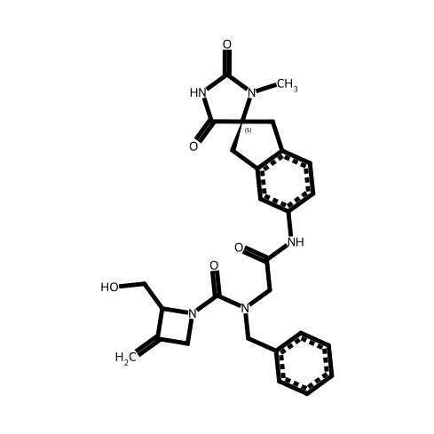 C=C1CN(C(=O)N(CC(=O)Nc2ccc3c(c2)C[C@@]2(C3)C(=O)NC(=O)N2C)Cc2ccccc2)C1CO